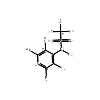 O=S(=O)(N(F)c1c(F)c(F)nc(F)c1F)C(F)(F)F